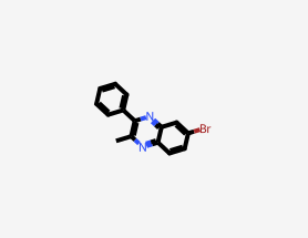 Cc1nc2ccc(Br)cc2nc1-c1ccccc1